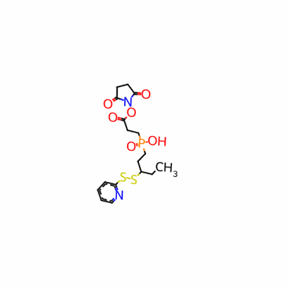 CCC(CCP(=O)(O)CCC(=O)ON1C(=O)CCC1=O)SSc1ccccn1